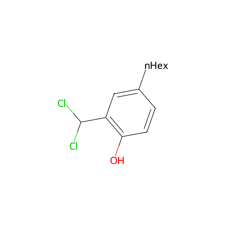 CCCCCCc1ccc(O)c(C(Cl)Cl)c1